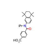 CC(C)N(C(=O)c1ccc(C(=O)O)cc1)c1ccc2c(c1)C(C)(C)CCC2(C)C